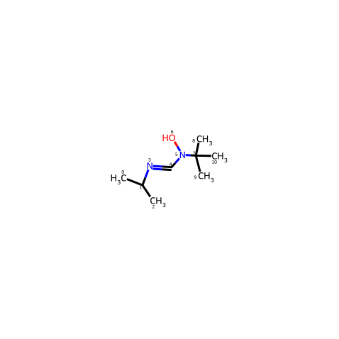 CC(C)/N=C/N(O)C(C)(C)C